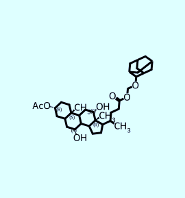 CC(=O)O[C@@H]1CC[C@@]2(C)C(C1)C[C@@H](O)C1C2C[C@H](O)[C@]2(C)C(C(C)CCC(=O)OCOC3C4CC5CC(C4)CC3C5)CCC12